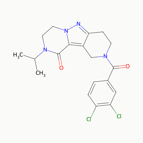 CC(C)N1CCn2nc3c(c2C1=O)CN(C(=O)c1ccc(Cl)c(Cl)c1)CC3